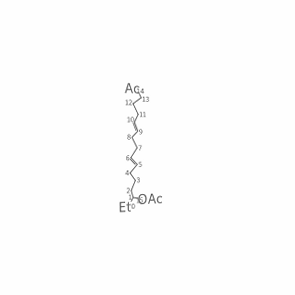 CCC(CCCC=CCCC=CCCCC(C)=O)OC(C)=O